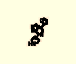 c1coc(-c2cnc(N3CCNCC3)c3nncn23)c1